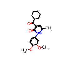 COc1ccc(-n2nc(C)cc(C(=O)C3CCCCC3)c2=O)cc1OC